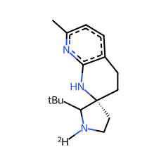 [2H]N1CC[C@]2(CCc3ccc(C)nc3N2)C1C(C)(C)C